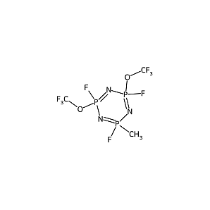 CP1(F)=NP(F)(OC(F)(F)F)=NP(F)(OC(F)(F)F)=N1